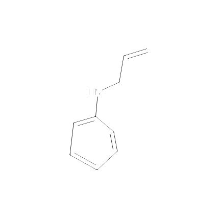 C=CCNc1[c]cccc1